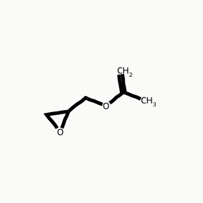 C=C(C)OCC1CO1